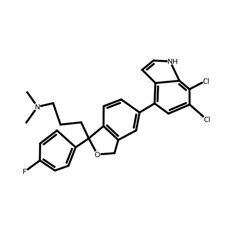 CN(C)CCCC1(c2ccc(F)cc2)OCc2cc(-c3cc(Cl)c(Cl)c4[nH]ccc34)ccc21